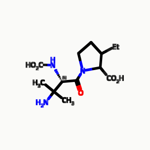 CCC1CCN(C(=O)[C@@H](NC(=O)O)C(C)(C)N)C1C(=O)O